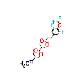 C/C=C/[C@H]1CO[C@H]([C@H]2CO[C@H](CCc3cc(F)c(OC(F)F)c(F)c3)OC2)OC1